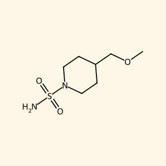 COCC1CCN(S(N)(=O)=O)CC1